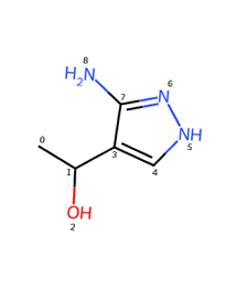 CC(O)c1c[nH]nc1N